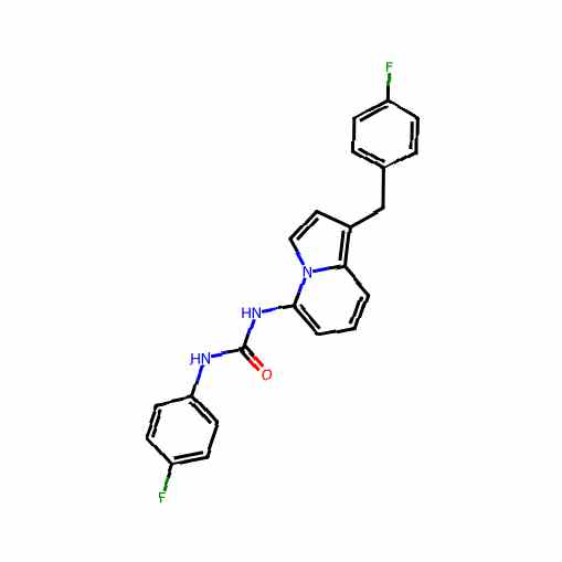 O=C(Nc1ccc(F)cc1)Nc1cccc2c(Cc3ccc(F)cc3)ccn12